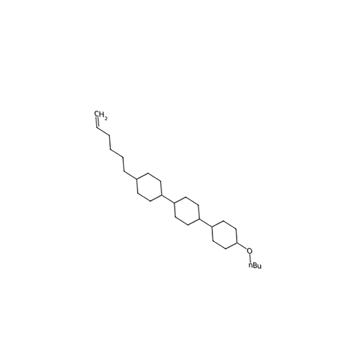 C=CCCCCC1CCC(C2CCC(C3CCC(OCCCC)CC3)CC2)CC1